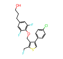 OCCCc1cc(F)c(OCc2c(-c3ccc(Cl)cc3)csc2CF)c(F)c1